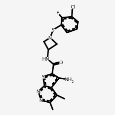 Cc1nnc2sc(C(=O)NC3CN(Sc4cccc(Cl)c4F)C3)c(N)c2c1C